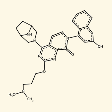 CN(C)CCCOc1nc(N2CC3CCC(C2)N3)c2ccn(-c3cc(O)cc4ccccc34)c(=O)c2n1